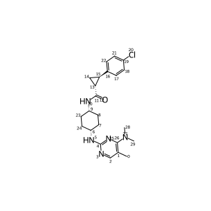 Cc1cnc(N[C@H]2CC[C@@H](NC(=O)[C@@H]3C[C@H]3c3ccc(Cl)cc3)CC2)nc1N(C)C